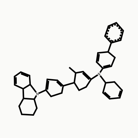 CC1C=C(N(C2=CCC(c3ccccc3)C=C2)C2C=CC=CC2)CCC1C1=CC=C(N2C3C=CC=CC3C3CCCCC32)CC1